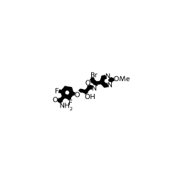 COc1ncc(-c2nc(C(O)COc3ccc(F)c(C(N)=O)c3F)oc2Br)cn1